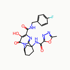 Cc1nnc(C(=O)NC23CCC(CC2)Cn2c3nc(C(=O)NCc3ccc(F)cc3)c(O)c2=O)o1